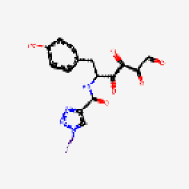 O=CC(=O)C(=O)C(=O)C(Cc1ccc(O)cc1)NC(=O)c1cn(I)nn1